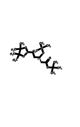 CC(C)(C)OC(=O)C[C@H](CCB1OC(C)(C)C(C)(C)O1)O[Si](C)(C)C